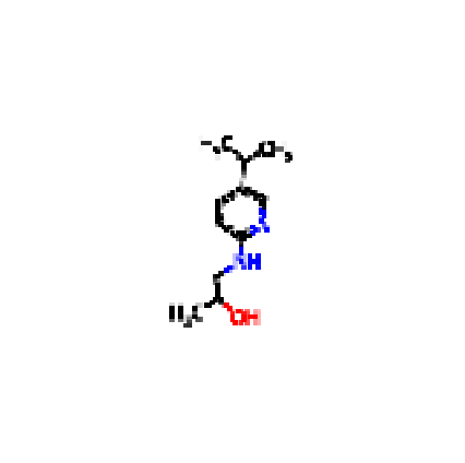 CC(O)CNc1ccc(C(C)C)cn1